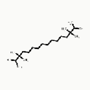 CC(O)C(C)(C)CCCCCCCCCCC(C)(C)C(C)O